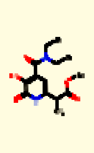 CC(C)CN(CC(C)C)C(=O)c1cc(C(C)C(=O)OC(C)(C)C)[nH]c(=O)c1O